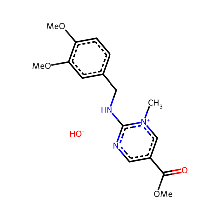 COC(=O)c1cnc(NCc2ccc(OC)c(OC)c2)[n+](C)c1.[OH-]